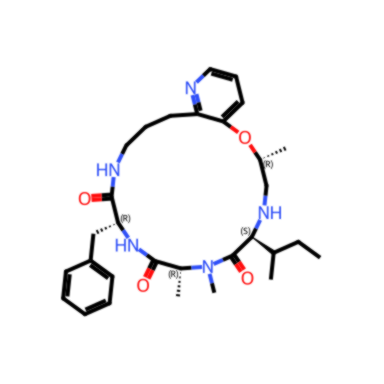 CCC(C)[C@@H]1NC[C@@H](C)Oc2cccnc2CCCNC(=O)[C@@H](Cc2ccccc2)NC(=O)[C@@H](C)N(C)C1=O